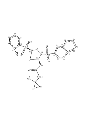 N#CC1(NC(=O)O[C@H]2C[C@@H](S(=O)(=O)c3ccccc3Cl)CN2S(=O)(=O)c2ccc3ccccc3c2)CC1